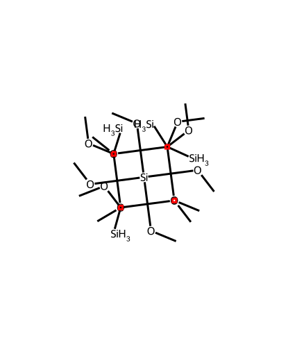 COC([SiH3])C(OC)(OC)[Si](C(OC)(OC)C([SiH3])OC)(C(OC)(OC)C([SiH3])OC)C(OC)(OC)C([SiH3])OC